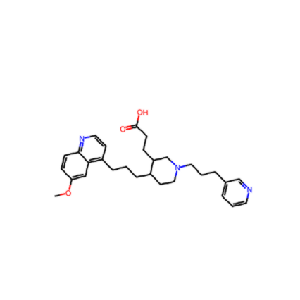 COc1ccc2nccc(CCCC3CCN(CCCc4cccnc4)CC3CCC(=O)O)c2c1